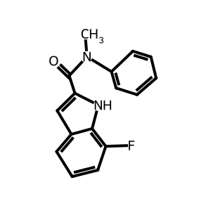 CN(C(=O)c1cc2cccc(F)c2[nH]1)c1ccccc1